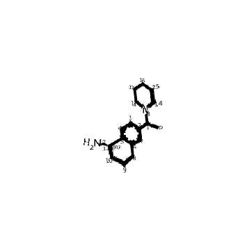 CC(c1ccc2c(c1)CCC[C@H]2N)N1CCCCC1